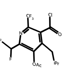 CC(=O)Oc1c(C(F)F)nc(C(F)(F)F)c(C(=O)Cl)c1CC(C)C